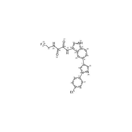 CCc1ccc(-n2cc(-c3ccc4[nH]cc(NC(=O)C(=O)NCC(F)(F)F)c4c3)cn2)cc1